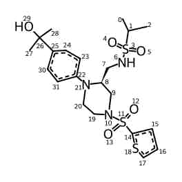 CC(C)S(=O)(=O)NC[C@H]1CN(S(=O)(=O)c2cccs2)CCN1c1ccc(C(C)(C)O)cc1